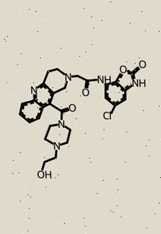 O=C(CN1CCc2nc3ccccc3c(C(=O)N3CCN(CCO)CC3)c2C1)Nc1cc(Cl)cc2[nH]c(=O)oc12